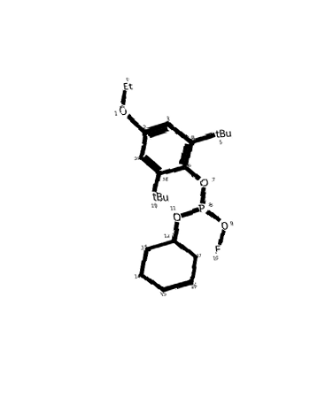 CCOc1cc(C(C)(C)C)c(OP(OF)OC2CCCCC2)c(C(C)(C)C)c1